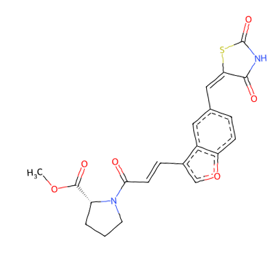 COC(=O)[C@H]1CCCN1C(=O)C=Cc1coc2ccc(C=C3SC(=O)NC3=O)cc12